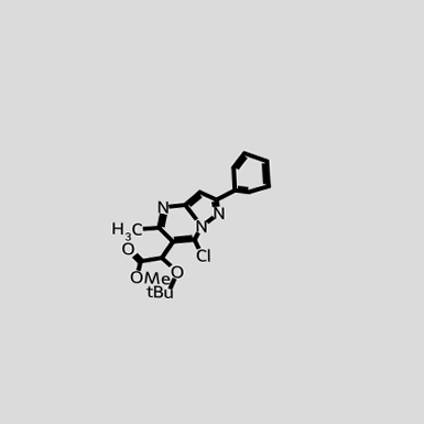 COC(=O)C(OC(C)(C)C)c1c(C)nc2cc(-c3ccccc3)nn2c1Cl